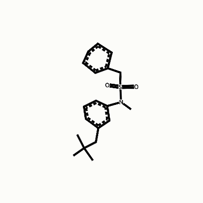 CN(c1cccc(CC(C)(C)C)c1)S(=O)(=O)Cc1ccccc1